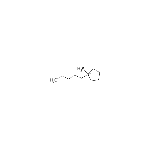 CCCCC[N+]1(P)CCCC1